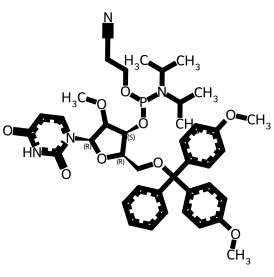 COc1ccc(C(OC[C@H]2O[C@@H](n3ccc(=O)[nH]c3=O)C(OC)[C@H]2OP(OCCC#N)N(C(C)C)C(C)C)(c2ccccc2)c2ccc(OC)cc2)cc1